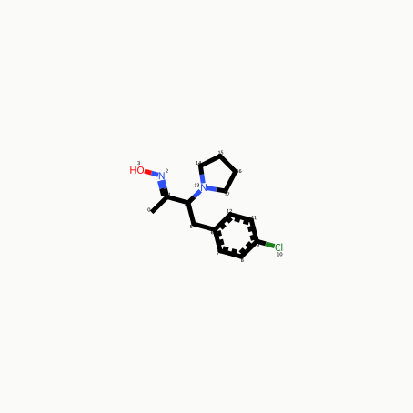 C/C(=N\O)C(Cc1ccc(Cl)cc1)N1CCCC1